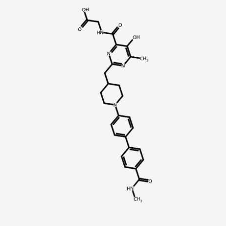 CNC(=O)c1ccc(-c2ccc(N3CCC(Cc4nc(C)c(O)c(C(=O)NCC(=O)O)n4)CC3)cc2)cc1